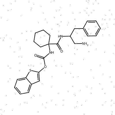 NCC(Cc1ccccc1)NC(=O)C1(NC(=O)Oc2cc3ccccc3s2)CCCCC1